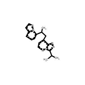 CC(C)c1nnc2c(CC(C)c3cccc4ccnn34)ccnn12